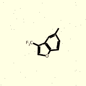 Cc1ccc2occ(C(F)(F)F)c2c1